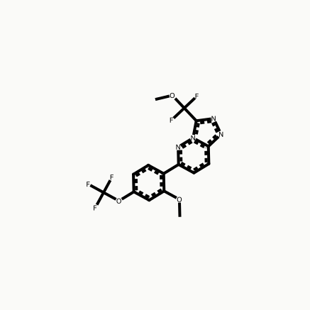 COc1cc(OC(F)(F)F)ccc1-c1ccc2nnc(C(F)(F)OC)n2n1